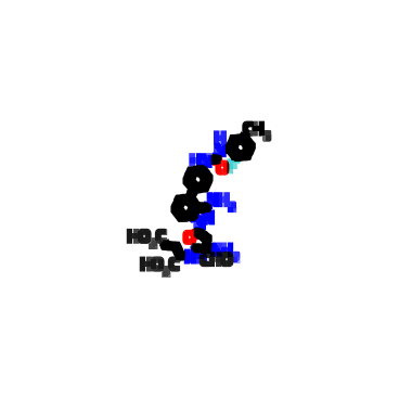 Cc1ccc(F)c(NC(=O)Nc2ccc(-c3cccc4c3c(N)nn4C(=O)C[C@](N)(C=O)CN[C@@H](CCC(=O)O)C(=O)O)cc2)c1